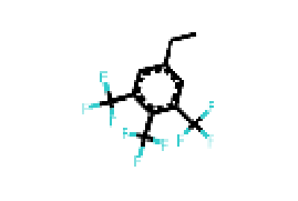 CCc1cc(C(F)(F)F)c(C(F)(F)F)c(C(F)(F)F)c1